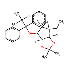 CC[C@]12C[C@@H]1[C@H](O[Si](c1ccccc1)(c1ccccc1)C(C)(C)C)[C@@H]1OC(C)(C)O[C@@H]12